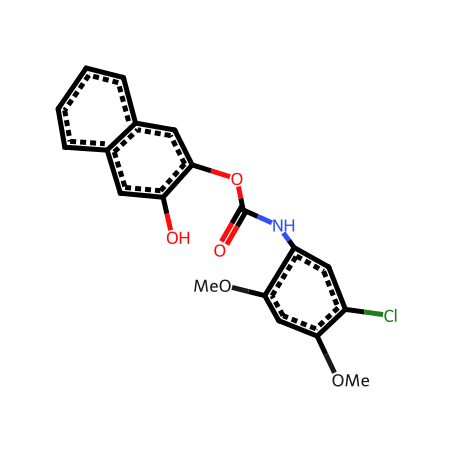 COc1cc(OC)c(NC(=O)Oc2cc3ccccc3cc2O)cc1Cl